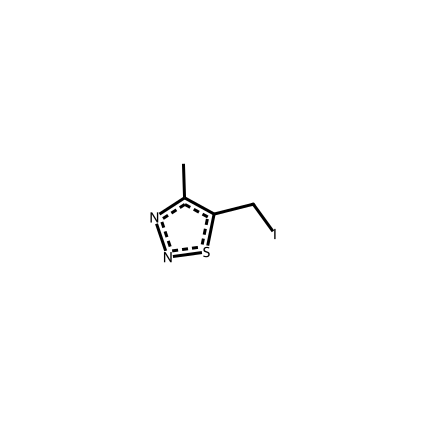 Cc1nnsc1CI